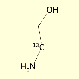 N[13CH2]CO